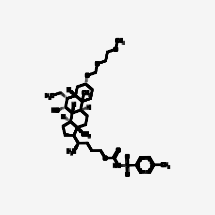 CC[C@H]1[C@@H](O)[C@@H]2[C@H](CC[C@]3(C)[C@@H]([C@H](C)CCCOC(=O)NS(=O)(=O)c4ccc(C)cc4)CC[C@@H]23)C2(C)CC[C@@H](OCOCCOC)C[C@@H]12